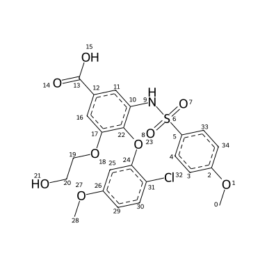 COc1ccc(S(=O)(=O)Nc2cc(C(=O)O)cc(OCCO)c2Oc2cc(OC)ccc2Cl)cc1